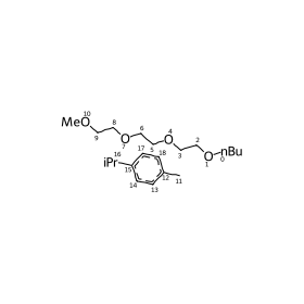 CCCCOCCOCCOCCOC.Cc1ccc(C(C)C)cc1